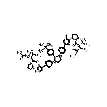 COC(=O)N(C)[C@H](C(=O)N1CCC[C@H]1c1nc(-c2ccc([C@H]3CC[C@H](c4ccc(-c5c[nH]c([C@@H]6CCCN6C(=O)[C@H](CNC(=O)O)C(C)C)n5)cc4)N3c3ccc(C(C)(C)C)cc3)cc2)c[nH]1)C(C)C